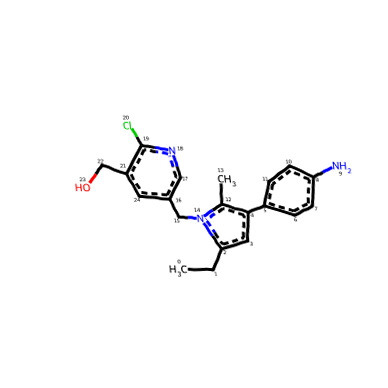 CCc1cc(-c2ccc(N)cc2)c(C)n1Cc1cnc(Cl)c(CO)c1